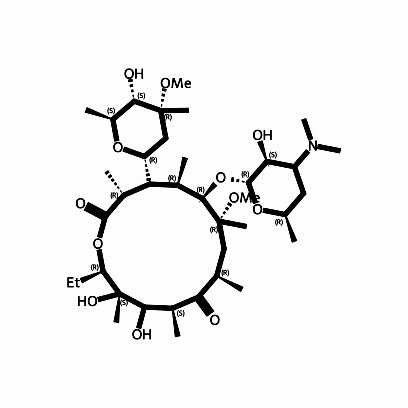 CC[C@H]1OC(=O)[C@H](C)C([C@H]2C[C@@](C)(OC)[C@@H](O)[C@H](C)O2)[C@@H](C)[C@@H](O[C@H]2O[C@H](C)CC(N(C)C)[C@@H]2O)[C@](C)(OC)C[C@@H](C)C(=O)[C@@H](C)C(O)[C@]1(C)O